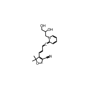 CC1(C)O[C]C(C#N)=C1C=CC=C=C1C=CC=CN1CC(O)CO